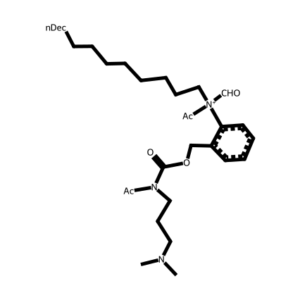 CCCCCCCCCCCCCCCCCC[N+](C=O)(C(C)=O)c1ccccc1COC(=O)N(CCCN(C)C)C(C)=O